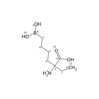 CCC(N)(CCCCB(O)O)C(=O)O